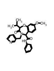 COc1ccc2c(c1)OC(C(C)C)C(=O)N(Cc1cccnc1)C2C(=O)Nc1ccccc1